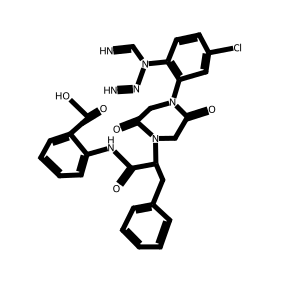 N=CN(N=N)c1ccc(Cl)cc1N1CC(=O)N(C(Cc2ccccc2)C(=O)Nc2ccccc2C(=O)O)CC1=O